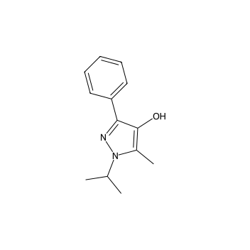 Cc1c(O)c(-c2ccccc2)nn1C(C)C